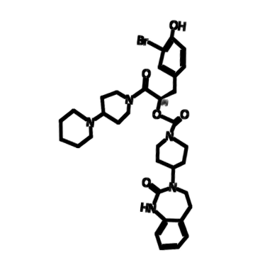 O=C(O[C@H](Cc1ccc(O)c(Br)c1)C(=O)N1CCC(N2CCCCC2)CC1)N1CCC(N2CCc3ccccc3NC2=O)CC1